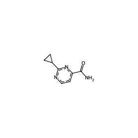 NC(=O)c1ccnc(C2CC2)n1